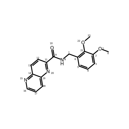 COc1cccc(CNC(=O)c2ccc3ncccc3n2)c1OC